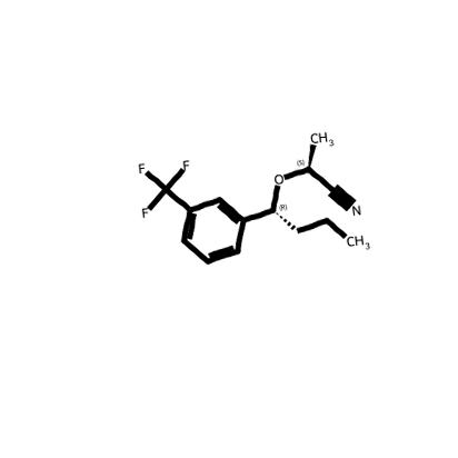 CCC[C@@H](O[C@@H](C)C#N)c1cccc(C(F)(F)F)c1